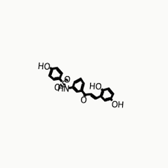 O=C(C=Cc1cc(O)ccc1O)c1cccc(NS(=O)(=O)c2ccc(O)cc2)c1